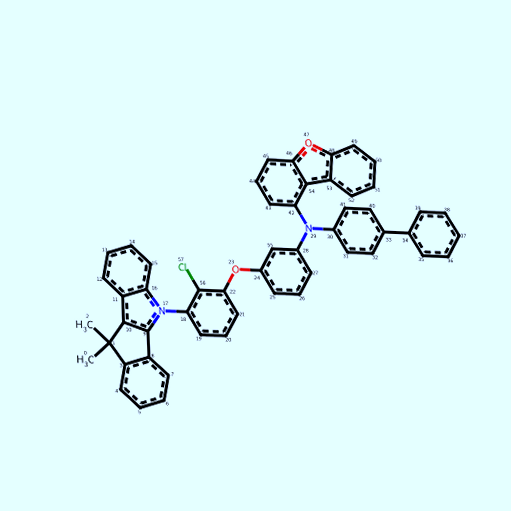 CC1(C)c2ccccc2-c2c1c1ccccc1n2-c1cccc(Oc2cccc(N(c3ccc(-c4ccccc4)cc3)c3cccc4oc5ccccc5c34)c2)c1Cl